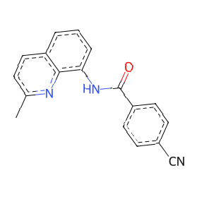 Cc1ccc2cccc(NC(=O)c3ccc(C#N)cc3)c2n1